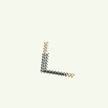 [Na+].[Na+].[Na+].[Na+].[Na+].[Na+].[Na+].[Na+].[Na+].[Na+].[Na+].[Na+].[Na+].[Na+].[S-2].[S-2].[S-2].[S-2].[S-2].[S-2].[S-2]